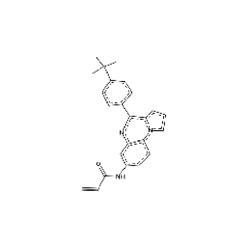 C=CC(=O)Nc1ccc2c(c1)nc(-c1ccc(C(C)(C)C)cc1)c1cccn12